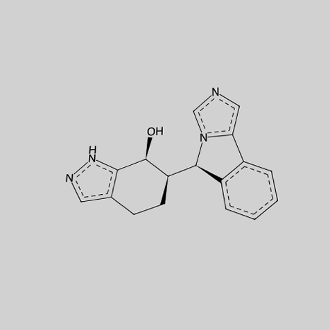 O[C@@H]1c2[nH]ncc2CC[C@@H]1[C@@H]1c2ccccc2-c2cncn21